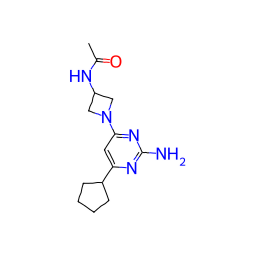 CC(=O)NC1CN(c2cc(C3CCCC3)nc(N)n2)C1